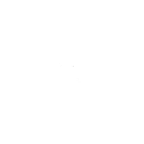 COc1ccc(N(C)C(=O)C(Cc2ccccc2)NC(=O)CNS(=O)(=O)c2ccc(Cl)cc2)cc1